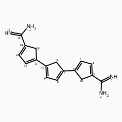 N=C(N)C1=CC=C(C2=CC=C(C3=CC=C(C(=N)N)C3)C2)C1